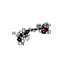 CC(C)(C)C[C@@H]1NC(C(=O)NCCOCCOc2ccc(C(O)N[C@H]3C(C)(C)[C@H](Oc4ccc(C#N)c(Cl)c4)C3(C)C)cc2)[C@@H](c2cccc(Cl)c2F)[C@@]1(C#N)c1ccc(Cl)cc1F